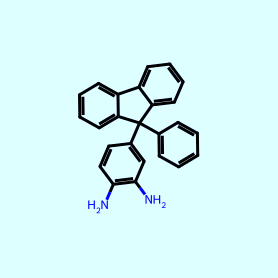 Nc1ccc(C2(c3ccccc3)c3ccccc3-c3ccccc32)cc1N